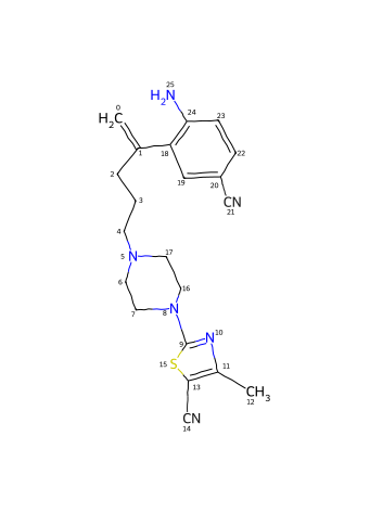 C=C(CCCN1CCN(c2nc(C)c(C#N)s2)CC1)c1cc(C#N)ccc1N